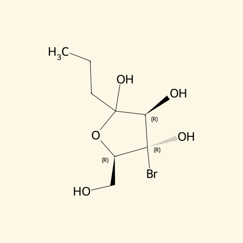 CCCC1(O)O[C@H](CO)[C@](O)(Br)[C@@H]1O